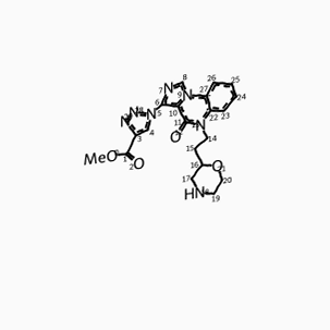 COC(=O)c1cn(-c2ncn3c2c(=O)n(CCC2CNCCO2)c2ccccc23)nn1